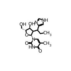 CCC(c1c[nH]cn1)C1[C@H](n2cc(C)c(=O)[nH]c2=O)O[C@H](CO)[C@H]1O